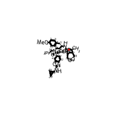 COc1ccc(C[C@H](NC(=O)OC2C3CCC(C)C2COOC3)[C@H](O)CN(CC(C)C)S(=O)(=O)c2ccc3nc(NC4CC4)oc3c2)cc1